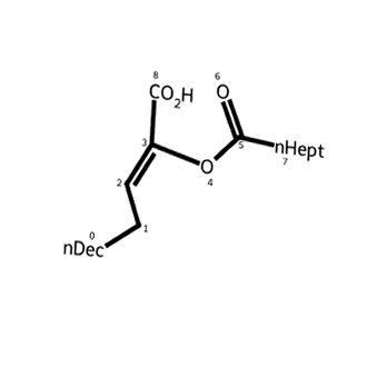 CCCCCCCCCCC/C=C(\OC(=O)CCCCCCC)C(=O)O